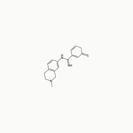 CN1CCc2ccc(NC(=N)C3=CC(=S)CC=C3)cc2C1